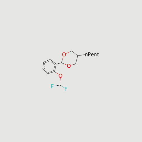 CCCCCC1COC(c2ccccc2OC(F)F)OC1